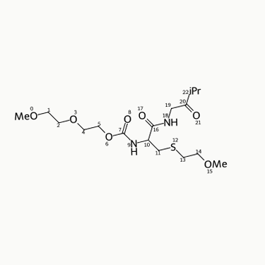 COCCOCCOC(=O)NC(CSCCOC)C(=O)NCC(=O)C(C)C